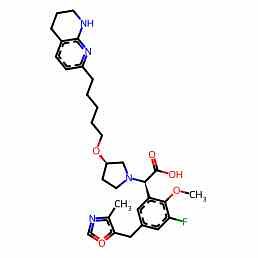 COc1c(F)cc(Cc2ocnc2C)cc1[C@H](C(=O)O)N1CC[C@@H](OCCCCCc2ccc3c(n2)NCCC3)C1